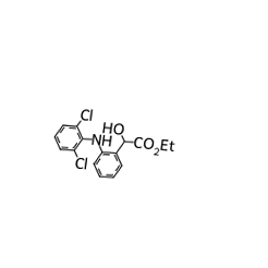 CCOC(=O)C(O)c1ccccc1Nc1c(Cl)cccc1Cl